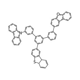 C1=CC2Sc3ccc(-c4cc(-c5cccc(-c6ccc7oc8ccccc8c7c6)c5)cc(-c5cccc(-n6c7ccccc7c7ccccc76)c5)c4)cc3C2C=C1